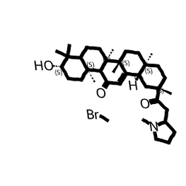 CBr.CN1CCCC1CC(=O)[C@@]1(C)CC[C@]2(C)CC[C@]3(C)C(=CC(=O)C4[C@@]5(C)CC[C@H](O)C(C)(C)C5CC[C@]43C)[C@H]2C1